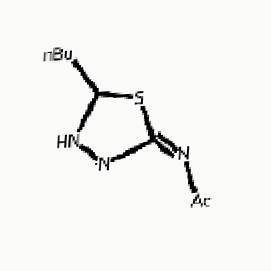 CCCCC1N[N]C(=NC(C)=O)S1